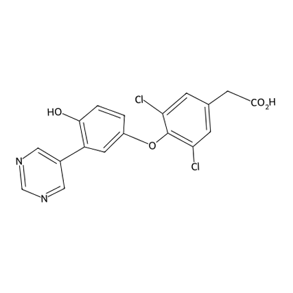 O=C(O)Cc1cc(Cl)c(Oc2ccc(O)c(-c3cncnc3)c2)c(Cl)c1